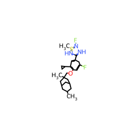 CC1CC2CC(C1)CC(C)(COC1=C(C3CC3)C=C(C(=N)NS(C)=NF)CC(F)=C1)C2